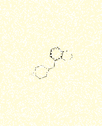 c1cc(CN2CCNCC2)c2c(c1)OCO2